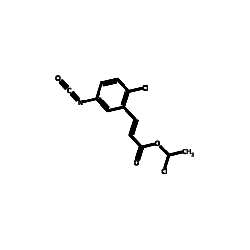 CC(Cl)OC(=O)C=Cc1cc(N=C=O)ccc1Cl